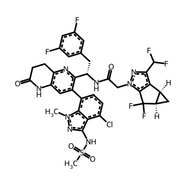 Cn1nc(NS(C)(=O)=O)c2c(Cl)ccc(-c3cc4c(nc3[C@H](Cc3cc(F)cc(F)c3)NC(=O)Cn3nc(C(F)F)c5c3C(F)(F)[C@@H]3C[C@H]53)CCC(=O)N4)c21